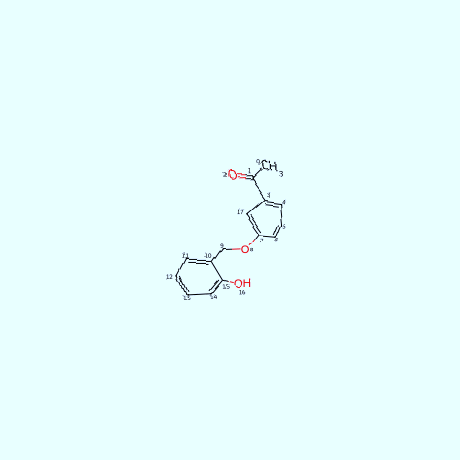 CC(=O)c1cccc(OCc2ccccc2O)c1